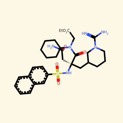 CCOC(=O)CN(C(=O)[C@@](CC(N)=O)(CC1CCCN(C(=N)N)C1)NS(=O)(=O)c1ccc2ccccc2c1)C1CCCCC1